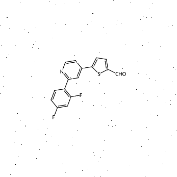 O=Cc1ccc(-c2ccnc(-c3ccc(F)cc3F)c2)s1